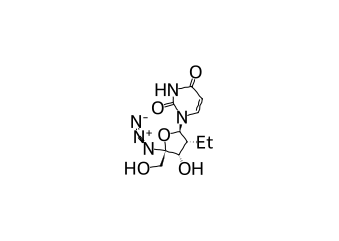 CC[C@H]1[C@H](n2ccc(=O)[nH]c2=O)O[C@@](CO)(N=[N+]=[N-])[C@H]1O